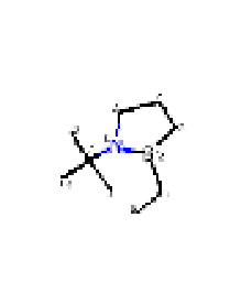 CCB1CCCN1C(C)(C)C